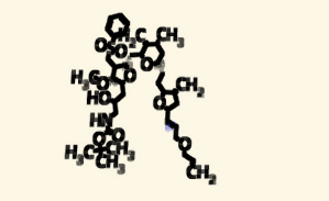 C=CCOC/C=C/C1CC(=C)C(CC[C@H]2CC(C)C(=C)C(C[C@@H]3OC(CC(O)CNC(=O)OC(C)(C)C)[C@H](OC)C3CS(=O)(=O)c3ccccc3)O2)O1